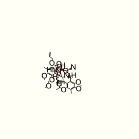 C=CCOC(=O)NC1CS[C@@H]2c3c(OC(C)=O)c(C)c4c(c3[C@H](COC1=O)N1C2[C@H]2c3c(cc(C)c(OC)c3OCOC)C[C@@H](C1C#N)N2C)OCO4